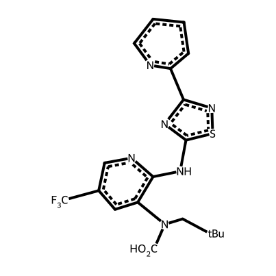 CC(C)(C)CN(C(=O)O)c1cc(C(F)(F)F)cnc1Nc1nc(-c2ccccn2)ns1